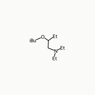 CCC(C)OC(CC)CN(CC)CC